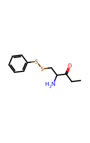 CCC(=O)C(N)CSSc1ccccc1